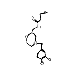 CC(C)CCC(=O)NC[C@H]1CN(Cc2ccc(Cl)c(Cl)c2)CCO1